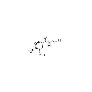 CCCNC(=O)C1CC(C)N(C)OS1